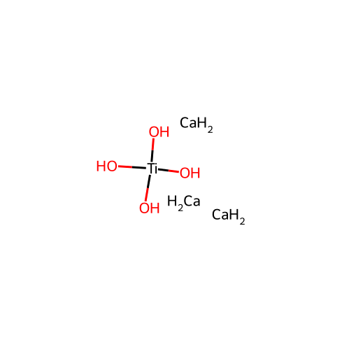 [CaH2].[CaH2].[CaH2].[OH][Ti]([OH])([OH])[OH]